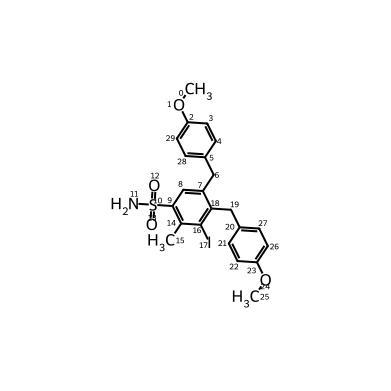 COc1ccc(Cc2cc(S(N)(=O)=O)c(C)c(I)c2Cc2ccc(OC)cc2)cc1